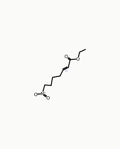 CCOC(=O)/C=C/CCCC[N+](=O)[O-]